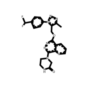 Cc1nnn(-c2ccc(C(F)F)cc2)c1COc1nnc(N2CCNC(=O)C2)c2ncccc12